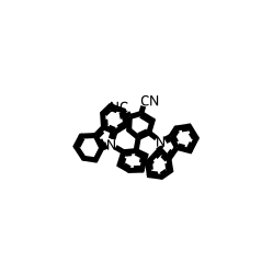 N#CC1=CC(n2c3ccccc3c3ccccc32)=C(c2ccccc2-n2c3c(c4ccccc42)C=CCC3)CC1C#N